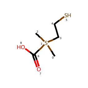 CS(C)(CCS)C(=O)O